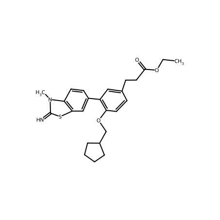 CCOC(=O)CCc1ccc(OCC2CCCC2)c(-c2ccc3c(c2)sc(=N)n3C)c1